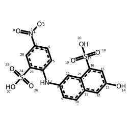 O=[N+]([O-])c1ccc(Nc2ccc3cc(O)cc(S(=O)(=O)O)c3c2)c(S(=O)(=O)O)c1